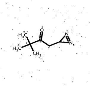 CC(C)(C)C(=O)CC1N=N1